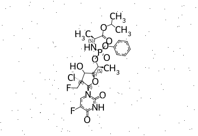 CC(C)OC(=O)[C@H](C)NP(=O)(Oc1ccccc1)O[C@@H](C)[C@H]1O[C@@H](n2cc(F)c(=O)[nH]c2=O)[C@@](Cl)(CF)C1O